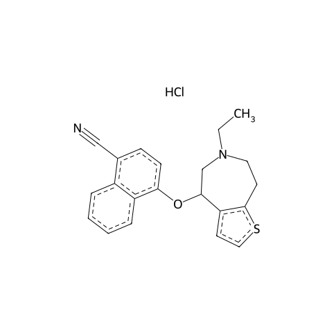 CCN1CCc2sccc2C(Oc2ccc(C#N)c3ccccc23)C1.Cl